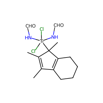 CC1=C(C)[C](C)([Ti]([Cl])([Cl])([NH]C=O)[NH]C=O)C2=C1CCCC2